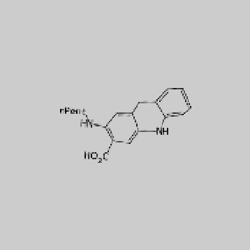 CCCCCNc1cc2c(cc1C(=O)O)Nc1ccccc1C2